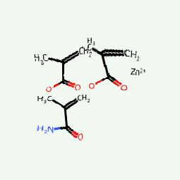 C=C(C)C(=O)[O-].C=C(C)C(=O)[O-].C=C(C)C(N)=O.[Zn+2]